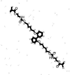 C=C(C)C(=O)OCCNC(=O)OCCCCCCOc1ccccc1-c1ccccc1OCCCCCCOC(=O)NCCOC(=O)C(=C)C